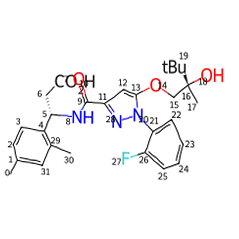 Cc1ccc([C@H](CC(=O)O)NC(=O)c2cc(OC[C@@](C)(O)C(C)(C)C)n(-c3ccccc3F)n2)c(C)c1